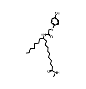 CCCCCCCC(CCCCCCCCCC(=O)NC)NC(=O)CSc1ccc(O)cc1